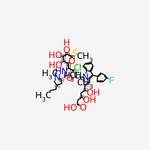 CC(C)n1c(/C=C/[C@@H](O)C[C@@H](O)CC(=O)O)c(-c2ccc(F)cc2)c2ccccc21.CCC[C@@H]1C[C@@H](C(=O)N[C@@H]([C@H]2O[C@H](SC)[C@H](O)[C@@H](O)[C@H]2O)[C@H](C)Cl)N(C)C1